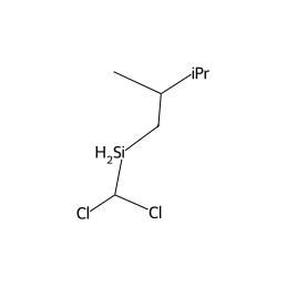 CC(C)C(C)C[SiH2]C(Cl)Cl